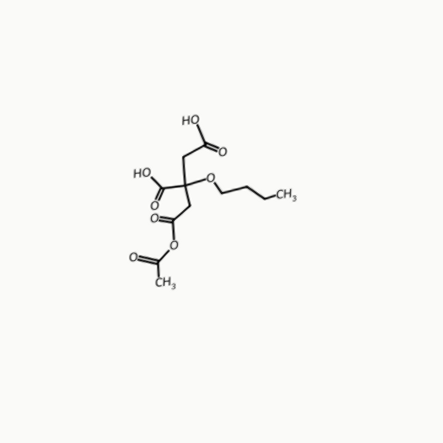 CCCCOC(CC(=O)O)(CC(=O)OC(C)=O)C(=O)O